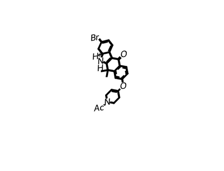 CC(=O)N1CC=C(Oc2ccc3c(c2)C(C)(C)C2=C(C3=O)C3=CC=C(Br)C[C@H]3N2)CC1